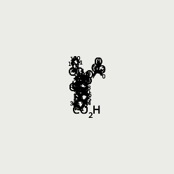 Cc1oc(=O)oc1COC(=O)[C@]1(C)[C@@H](OC(=O)N2CCCC2)CC[C@@]2(C)[C@H]1CC[C@]1(C)[C@@H]2C(=O)C=C2[C@@H]3C[C@@](C)(C(=O)O)CC[C@]3(C)CC[C@]21C